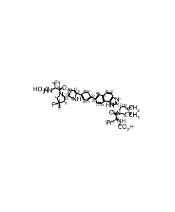 CC(C)[C@H](NC(=O)O)C(=O)N1CC(F)(F)C[C@H]1c1ncc(C2=CC=C(c3ccc4c(ccc5nc([C@@H]6CS(C)(C)CN6C(=O)[C@@H](NC(=O)O)C(C)C)[nH]c54)c3)CC2)[nH]1